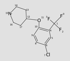 FC(F)(F)c1cc(Cl)ccc1OC1CC[N]CC1